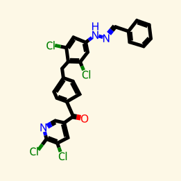 O=C(c1ccc(Cc2c(Cl)cc(N/N=C/c3ccccc3)cc2Cl)cc1)c1cnc(Cl)c(Cl)c1